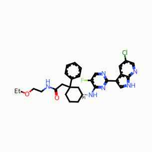 CCOCCNC(=O)CC1(c2ccccc2)CCC[C@@H](Nc2nc(-c3c[nH]c4ncc(Cl)cc34)ncc2F)C1